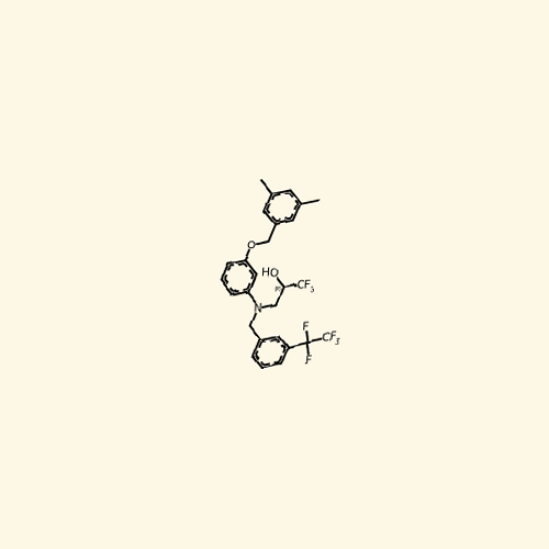 Cc1cc(C)cc(COc2cccc(N(Cc3cccc(C(F)(F)C(F)(F)F)c3)C[C@@H](O)C(F)(F)F)c2)c1